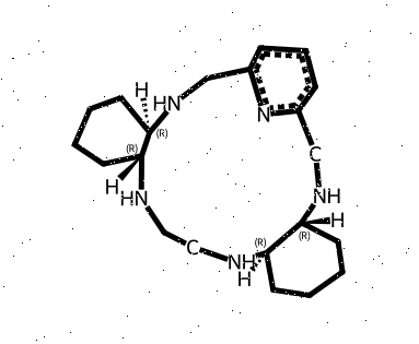 c1cc2nc(c1)CN[C@@H]1CCCC[C@H]1NCCN[C@@H]1CCCC[C@H]1NC2